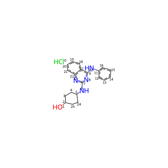 Cl.OC1CCC(Nc2nc(Nc3ccccc3)c3ccccc3n2)CC1